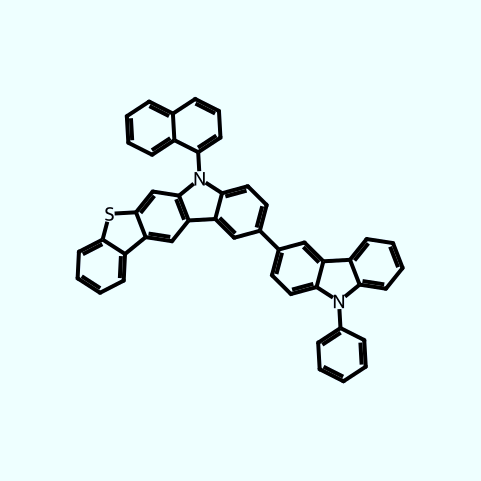 c1ccc(-n2c3ccccc3c3cc(-c4ccc5c(c4)c4cc6c(cc4n5-c4cccc5ccccc45)sc4ccccc46)ccc32)cc1